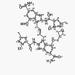 CCn1nc(C)cc1C(=O)Nc1nc2cc(C(N)=O)cc(OCC3COC3)c2n1C/C=C/Cn1c(NC(O)c2cc(C)nn2CC)nc2cc(C(N)=O)cc(OC)c21